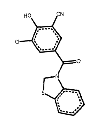 N#Cc1cc(C(=O)N2CSc3ccccc32)cc(Cl)c1O